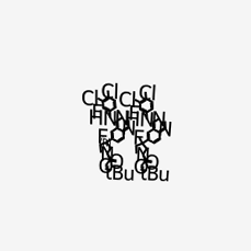 CC(C)(C)OC(=O)N1CCC(F)(c2ccc3ncnc(Nc4ccc(Cl)c(Cl)c4F)c3c2)C1.CC(C)(C)OC(=O)N1CC[C@@](F)(c2ccc3ncnc(Nc4ccc(Cl)c(Cl)c4F)c3c2)C1